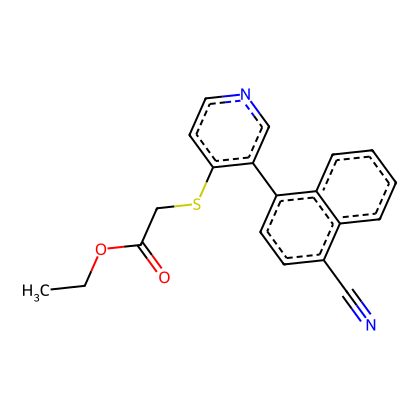 CCOC(=O)CSc1ccncc1-c1ccc(C#N)c2ccccc12